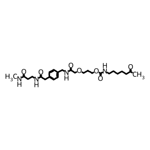 CNC(=O)CCNC(=O)Cc1ccc(CNC(=O)COCCCOC(=O)NCCCCCC(C)=O)cc1